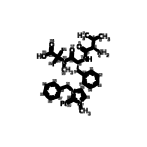 CC(C)[C@@H](N)C(=O)N[C@H](Cc1ccccc1)C(=O)N(C)C(I)(I)C(=O)O.Cn1ccn(Cc2ccccc2)[c]1=[Pt]